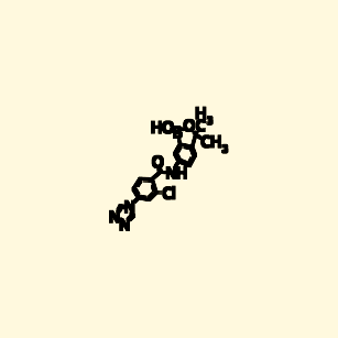 CC1(C)OB(O)c2cc(NC(=O)c3ccc(-n4cnnc4)cc3Cl)ccc21